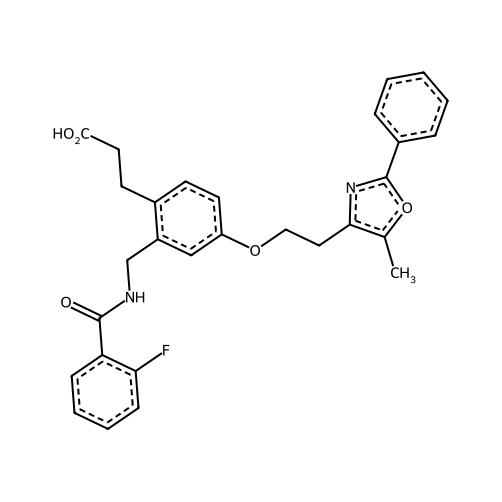 Cc1oc(-c2ccccc2)nc1CCOc1ccc(CCC(=O)O)c(CNC(=O)c2ccccc2F)c1